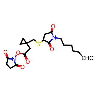 O=CCCCCCN1C(=O)CC(SCC2(CC(=O)ON3C(=O)CCC3=O)CC2)C1=O